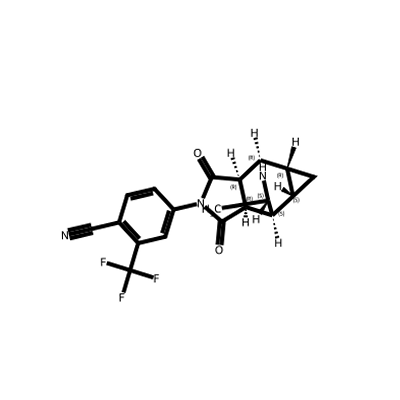 C[C@@H]1N[C@@H]2[C@@H]3C[C@@H]3[C@H]1[C@H]1C(=O)N(c3ccc(C#N)c(C(F)(F)F)c3)C(=O)[C@@H]21